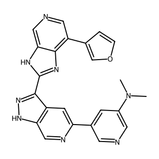 CN(C)c1cncc(-c2cc3c(-c4nc5c(-c6ccoc6)cncc5[nH]4)n[nH]c3cn2)c1